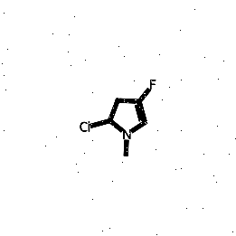 CN1C=C(F)CC1Cl